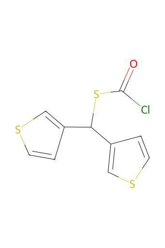 O=C(Cl)SC(c1ccsc1)c1ccsc1